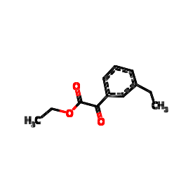 CCOC(=O)C(=O)c1cccc(CC)c1